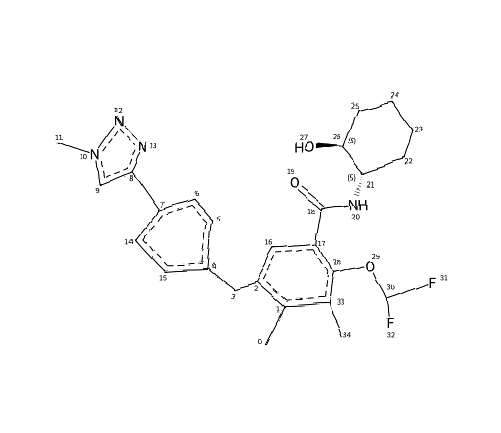 Cc1c(Cc2ccc(-c3cn(C)nn3)cc2)cc(C(=O)N[C@H]2CCCC[C@@H]2O)c(OC(F)F)c1C